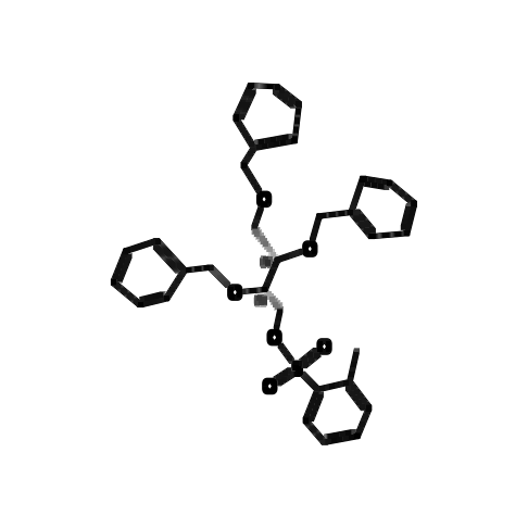 Cc1ccccc1S(=O)(=O)OC[C@H](OCc1ccccc1)[C@H](COCc1ccccc1)OCc1ccccc1